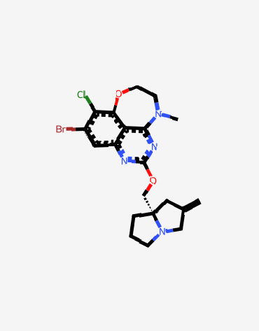 C=C1CN2CCC[C@@]2(COc2nc3c4c(c(Cl)c(Br)cc4n2)OCCN3C)C1